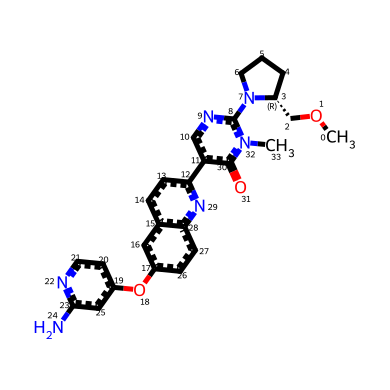 COC[C@H]1CCCN1c1ncc(-c2ccc3cc(Oc4ccnc(N)c4)ccc3n2)c(=O)n1C